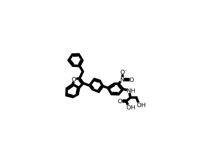 O=C(O)C(CO)Nc1ccc(-c2ccc(-c3c(Cc4ccccc4)oc4ccccc34)cc2)cc1[N+](=O)[O-]